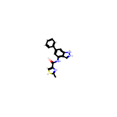 Cc1nc(C(=O)Nc2cc(-c3ccccc3)cc3[nH]ncc23)cs1